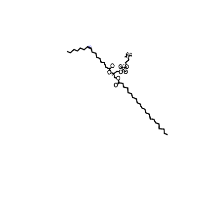 CCCCCC/C=C\CCCCCCCC(=O)O[C@H](COC(=O)CCCCCCCCCCCCCCCCCCCCC)COP(=O)([O-])OCC[N+](C)(C)C